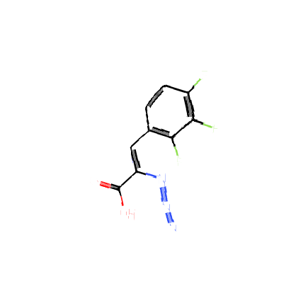 [N-]=[N+]=N/C(=C\c1ccc(F)c(F)c1F)C(=O)O